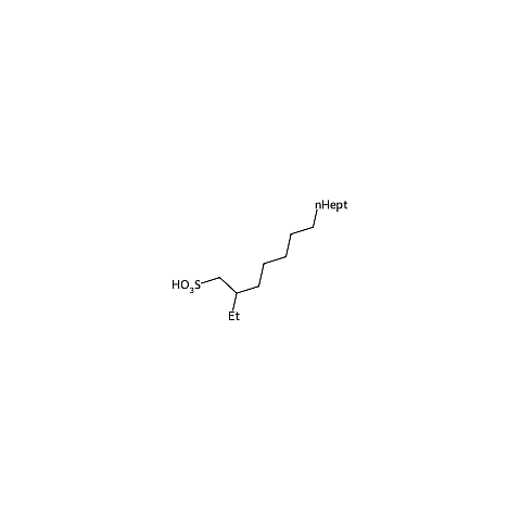 CCCCCCCCCCCCC(CC)CS(=O)(=O)O